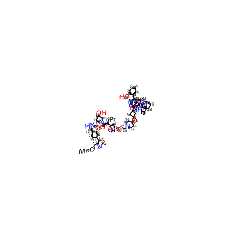 COCc1ncsc1-c1ccc([C@H](C)NC(=O)[C@@H]2C[C@@H](O)CN2C(=O)[C@H](c2cc(OCCN3CCC(OC4CC(Oc5cc(N6C7CC[C@@H]6CN(c6cc(-c8ccccc8O)nnc6N)C7)ccn5)C4)CC3)no2)C(C)C)cc1